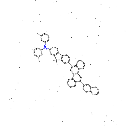 Cc1cccc(N(c2cccc(C)c2)c2ccc3c(c2)C(C)(C)c2cc(-c4cc5c6ccccc6c(-c6ccc7ccccc7c6)cc5c5ccccc45)ccc2-3)c1